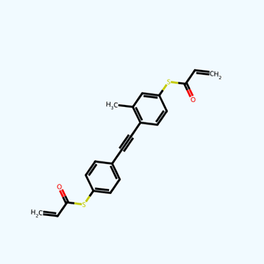 C=CC(=O)Sc1ccc(C#Cc2ccc(SC(=O)C=C)cc2C)cc1